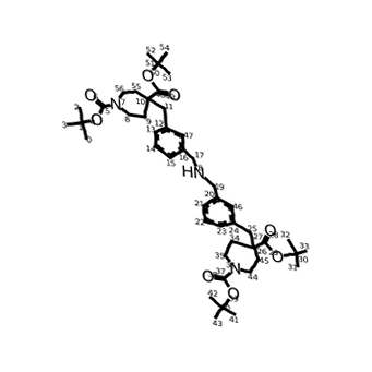 CC(C)(C)OC(=O)N1CCC(Cc2cccc(CNCc3cccc(CC4(C(=O)OC(C)(C)C)CCN(C(=O)OC(C)(C)C)CC4)c3)c2)(C(=O)OC(C)(C)C)CC1